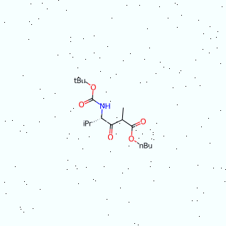 CCCCOC(=O)C(C)C(=O)[C@@H](NC(=O)OC(C)(C)C)C(C)C